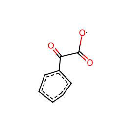 [O]C(=O)C(=O)c1ccccc1